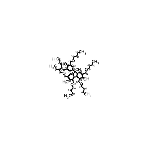 CCCCOCc1cc(C(C)(c2cc(COCCCC)c(O)c(COCCCC)c2)c2cc(COCCCC)c(O)c(COCCCC)c2)cc(COCCCC)c1O